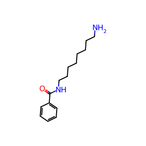 NCCCCCCCCNC(=O)c1ccccc1